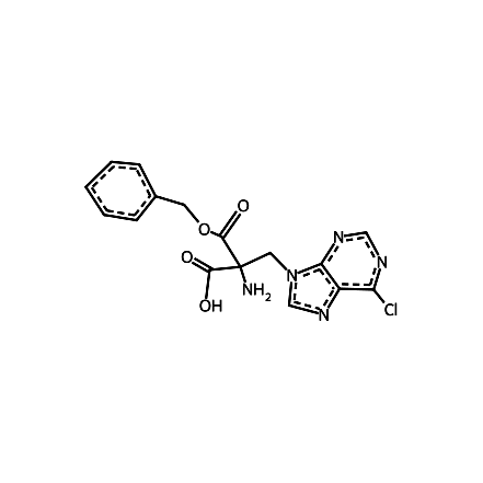 NC(Cn1cnc2c(Cl)ncnc21)(C(=O)O)C(=O)OCc1ccccc1